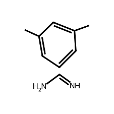 Cc1cccc(C)c1.N=CN